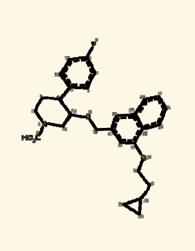 O=C(O)N1CCC(c2ccc(F)cc2)C(OCc2cc(OCCC3CC3)c3ccccc3c2)C1